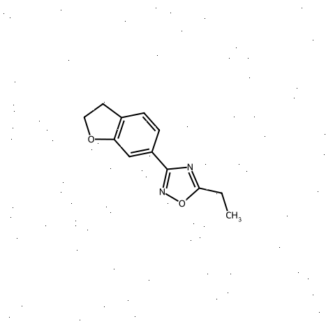 CCc1nc(-c2ccc3c(c2)OCC3)no1